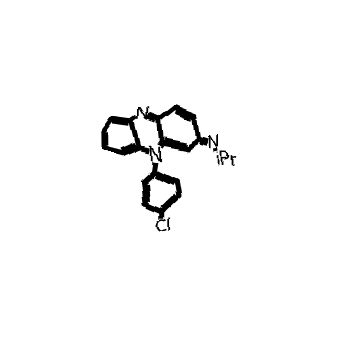 CC(C)N=c1ccc2nc3ccccc3n(-c3ccc(Cl)cc3)c-2c1